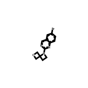 Brc1ccc2nc(N3CCC34COC4)ncc2c1